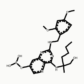 CCCCC(C)(CO)Nc1nc(NCc2ccc(OC)cc2OC)nc2cc(OB(O)O)cnc12